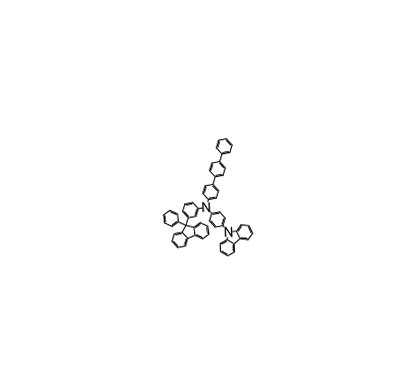 c1ccc(-c2ccc(-c3ccc(N(c4ccc(-n5c6ccccc6c6ccccc65)cc4)c4cccc(C5(c6ccccc6)c6ccccc6-c6ccccc65)c4)cc3)cc2)cc1